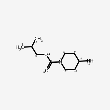 CC(C)COC(=O)N1CCC([NH])CC1